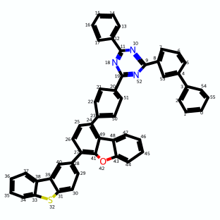 c1ccc(-c2cccc(-c3nc(-c4ccccc4)nc(-c4ccc(-c5ccc(-c6ccc7sc8ccccc8c7c6)c6oc7ccccc7c56)cc4)n3)c2)cc1